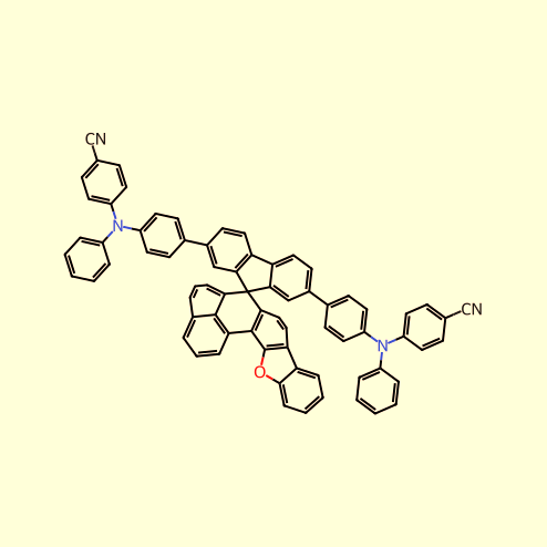 N#Cc1ccc(N(c2ccccc2)c2ccc(-c3ccc4c(c3)C3(c5cc(-c6ccc(N(c7ccccc7)c7ccc(C#N)cc7)cc6)ccc5-4)c4ccc5c(oc6ccccc65)c4-c4cccc5cccc3c45)cc2)cc1